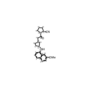 COc1cnc2cccc(N[C@H]3CCN(CC(=O)N4CCC[C@H]4C#N)C3)c2c1